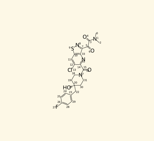 CN(C)C(=O)C(=O)c1nsc2cc(Cl)c(C(=O)N3CCC(O)(Cc4ccc(F)cc4)CC3)nc12